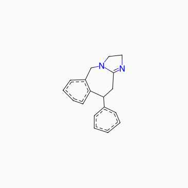 c1ccc(C2CC3=NCCN3Cc3ccccc32)cc1